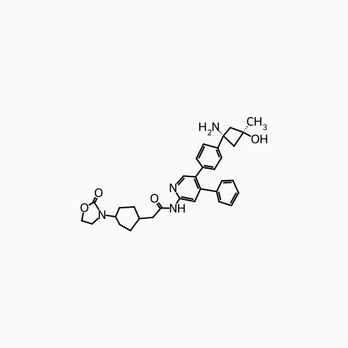 C[C@]1(O)C[C@@](N)(c2ccc(-c3cnc(NC(=O)CC4CCC(N5CCOC5=O)CC4)cc3-c3ccccc3)cc2)C1